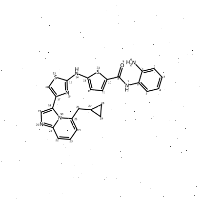 Nc1ccccc1NC(=O)c1ccc(Nc2nc(-c3cnc4cccc(CC5CC5)n34)cs2)s1